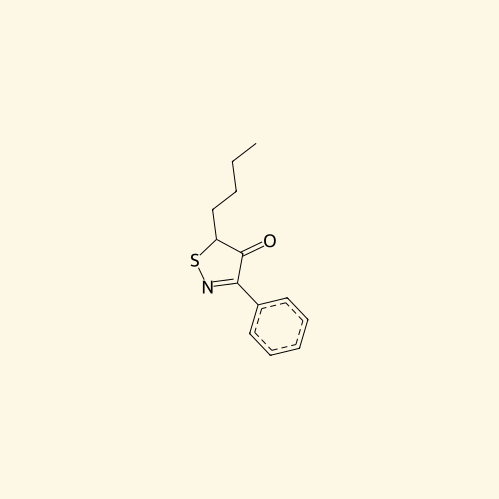 CCCCC1SN=C(c2ccccc2)C1=O